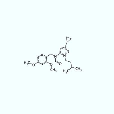 COc1ccc(CN(C=O)c2cc(C3CC3)nn2CCC(C)C)c(OC)c1